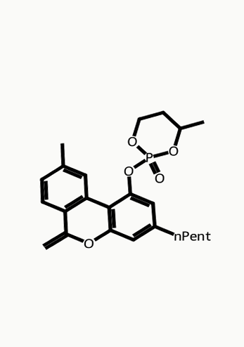 C=C1Oc2cc(CCCCC)cc(OP3(=O)OCCC(C)O3)c2-c2cc(C)ccc21